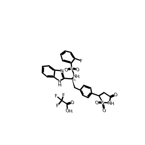 O=C(O)C(F)(F)F.O=C1CC(c2ccc(C[C@H](NS(=O)(=O)c3ccccc3F)c3nc4ccccc4[nH]3)cc2)S(=O)(=O)N1